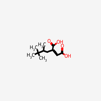 CC(CC(=CC(=O)O)C(=O)O)C(C)(C)C